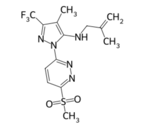 C=C(C)CNc1c(C)c(C(F)(F)F)nn1-c1ccc(S(C)(=O)=O)nn1